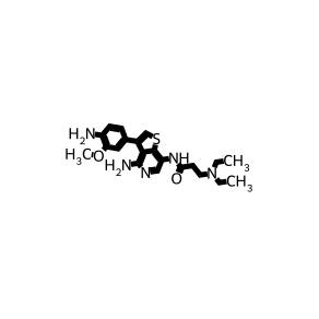 CCN(CC)CCC(=O)Nc1cnc(N)c2c(-c3ccc(N)c(OC)c3)csc12